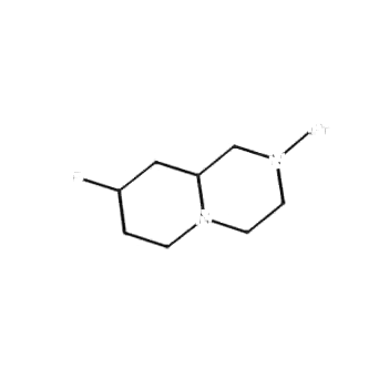 CC(C)N1CCN2CCC(F)CC2C1